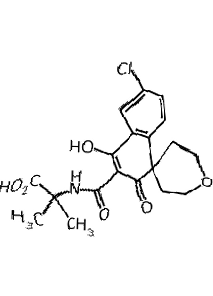 CC(C)(NC(=O)C1=C(O)c2cc(Cl)ccc2C2(CCOCC2)C1=O)C(=O)O